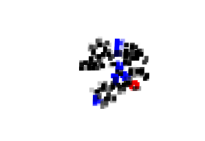 COc1ccccc1C1CN(c2nc(-c3ccncc3)cc(=O)n2C)CC(C)(C)N1